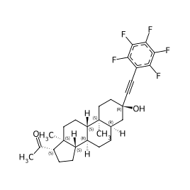 CC(=O)[C@H]1CC[C@H]2[C@@H]3CC[C@@H]4C[C@@](O)(C#Cc5c(F)c(F)c(F)c(F)c5F)CC[C@]4(C)[C@H]3CC[C@]12C